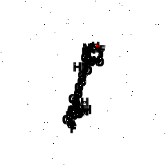 C=C1/C=C(F)\C=C/CC(=O)N(C)Cc2nn(CCNC(=O)CCOCCOCCOCCOCCC(=O)N3CCC([C@@H](NC(=O)[C@@H](C)NC)C(=O)N4CCC[C@@H]4C4=NC(C(=O)c5ccc(F)cc5)CS4)CC3)c(OC)c2-c2cnc(N)c(c2)N2CCC[C@H]12